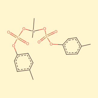 Cc1ccc(OS(=O)(=O)O[Si](C)(C)OS(=O)(=O)Oc2ccc(C)cc2)cc1